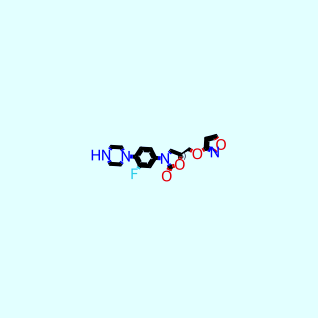 O=C1O[C@H](COc2ccon2)CN1c1ccc(N2CCNCC2)c(F)c1